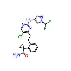 NC(=O)C1(c2ccccc2CCc2nc(Nc3cnn(C(F)F)c3)ncc2Cl)CC1